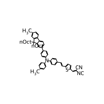 [C-]#[N+]/C(C#N)=C/c1ccc(/C=C/c2ccc(N(c3ccc(C)cc3)c3ccc(-c4ccc5c(c4)C(CCCCCCCC)(CCCCCCCC)c4cc(C)ccc4-5)cc3)cc2)s1